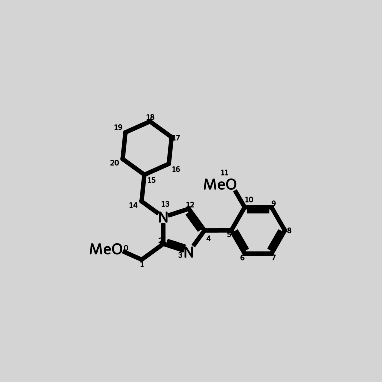 COCc1nc(-c2ccccc2OC)cn1CC1CCCCC1